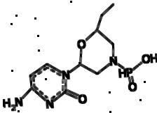 CCC1CN([PH](=O)O)CC(n2ccc(N)nc2=O)O1